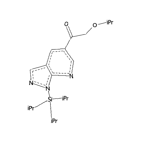 CC(C)OCC(=O)c1cnc2c(cnn2[Si](C(C)C)(C(C)C)C(C)C)c1